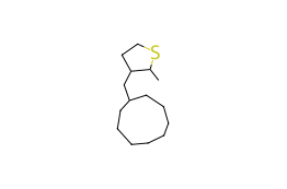 CC1SCCC1CC1CCCCCCCC1